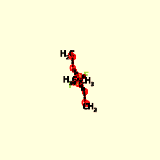 C=CC(=O)OCCCCCCCCOc1ccc(C2CCC(C(=O)Oc3c4sc(-c5ccc(F)cc5)c(C)c4c(OC(=O)C4CCC(c5ccc(OCCCCCCCCOC(=O)C=C)cc5)CC4)c4sc(-c5ccc(F)cc5)c(C)c34)CC2)cc1